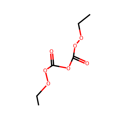 CCOOC(=O)OC(=O)OOCC